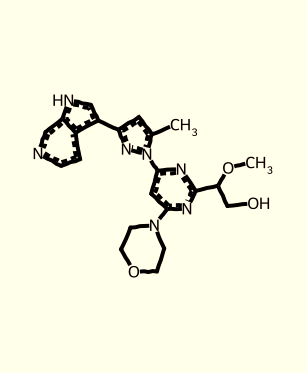 COC(CO)c1nc(N2CCOCC2)cc(-n2nc(-c3c[nH]c4cnccc34)cc2C)n1